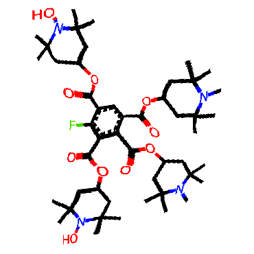 CN1C(C)(C)CC(OC(=O)c2cc(C(=O)OC3CC(C)(C)N(O)C(C)(C)C3)c(F)c(C(=O)OC3CC(C)(C)N(O)C(C)(C)C3)c2C(=O)OC2CC(C)(C)N(C)C(C)(C)C2)CC1(C)C